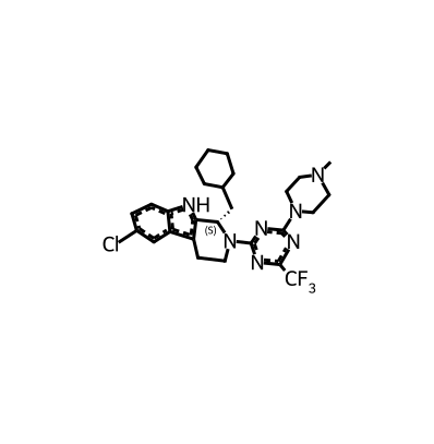 CN1CCN(c2nc(N3CCc4c([nH]c5ccc(Cl)cc45)[C@@H]3CC3CCCCC3)nc(C(F)(F)F)n2)CC1